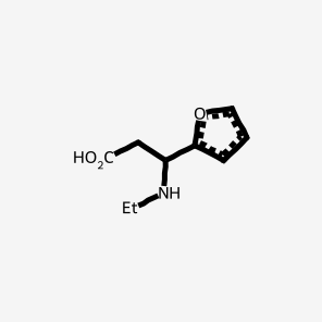 CCNC(CC(=O)O)c1ccco1